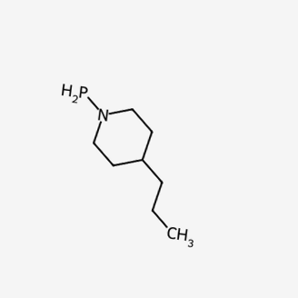 CCCC1CCN(P)CC1